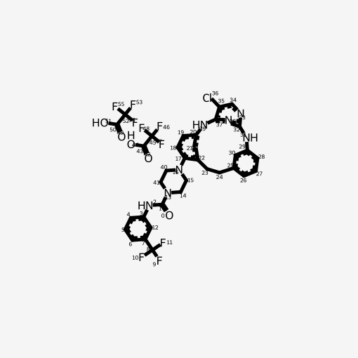 O=C(Nc1cccc(C(F)(F)F)c1)N1CCN(c2ccc3cc2CCc2cccc(c2)Nc2ncc(Cl)c(n2)N3)CC1.O=C(O)C(F)(F)F.O=C(O)C(F)(F)F